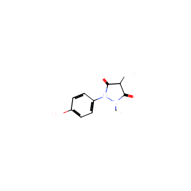 CCCCC1C(=O)N(c2ccc(O)cc2)N(C(F)(F)F)C1=O